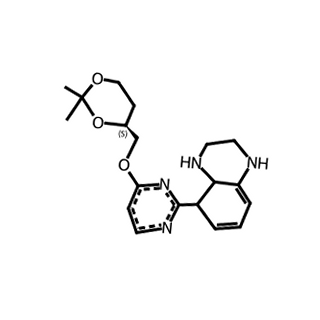 CC1(C)OCC[C@@H](COc2ccnc(C3C=CC=C4NCCNC43)n2)O1